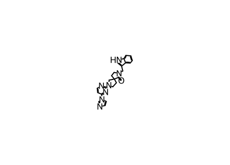 O=C1N(Cc2c[nH]c3ccccc23)CCC12CCN(c1nccc(-n3ccnc3)n1)C2